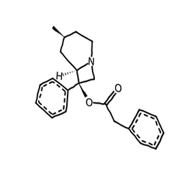 C[C@H]1CCN2C[C@](OC(=O)Cc3ccccc3)(c3ccccc3)[C@H]2C1